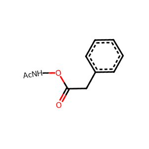 CC(=O)NOC(=O)Cc1ccccc1